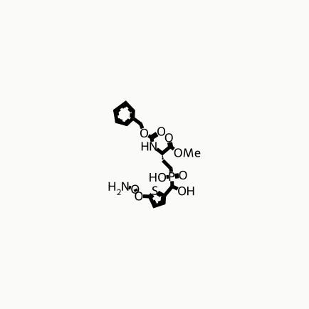 COC(=O)[C@H](CCP(=O)(O)C(O)c1ccc(OON)s1)NC(=O)OCc1ccccc1